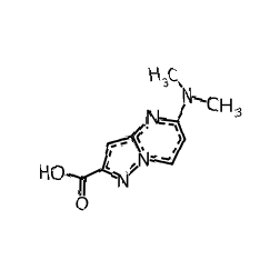 CN(C)c1ccn2nc(C(=O)O)cc2n1